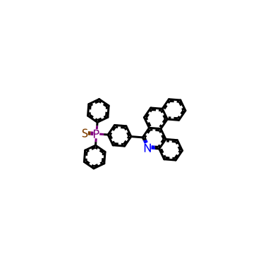 S=P(c1ccccc1)(c1ccccc1)c1ccc(-c2nc3ccccc3c3c2ccc2ccccc23)cc1